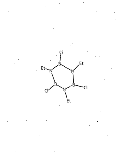 CCN1B(Cl)N(CC)B(Cl)N(CC)B1Cl